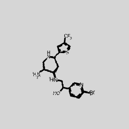 NC1CNC(c2cc(C(F)(F)F)cs2)CC1NCC(O)c1ccc(Br)nc1